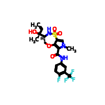 C=C[C@](C)(O)[C@H]1COc2c(cn(C)c2C(=O)Nc2ccc(F)c(C(F)(F)F)c2)S(=O)(=O)N1